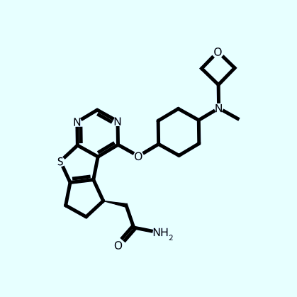 CN(C1CCC(Oc2ncnc3sc4c(c23)[C@@H](CC(N)=O)CC4)CC1)C1COC1